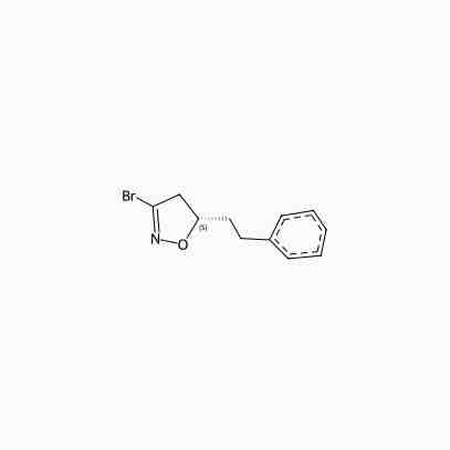 BrC1=NO[C@@H](CCc2ccccc2)C1